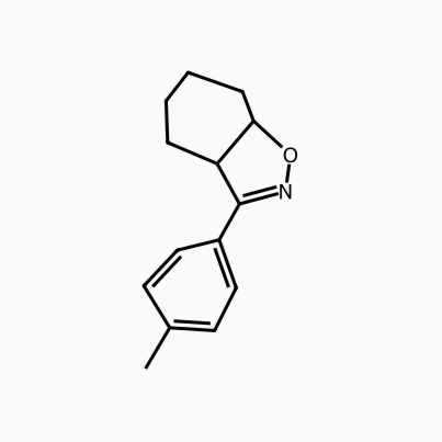 Cc1ccc(C2=NOC3CCCCC23)cc1